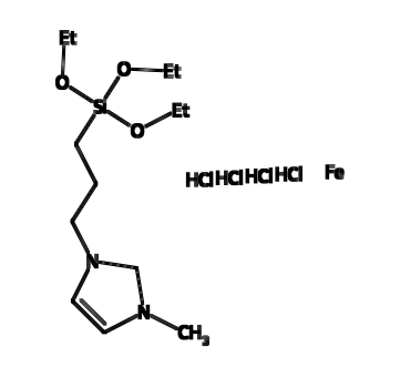 CCO[Si](CCCN1C=CN(C)C1)(OCC)OCC.Cl.Cl.Cl.Cl.[Fe]